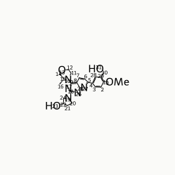 COc1ccc(-c2ccc3c(N4CCOC[C@@H]4C)nc(N4CC[C@@H](O)C4)nc3n2)cc1CO